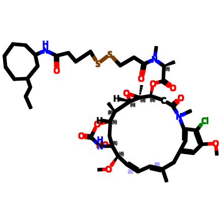 CCCC1CCCCCC(NC(=O)CCCSSCCC(=O)N(C)[C@@H](C)C(=O)O[C@H]2CC(=O)N(C)c3cc(cc(OC)c3Cl)C/C(C)=C/C=C/[C@@H](OC)[C@@]3(O)C[C@H](OC(=O)N3)[C@@H](C)[C@@H]3O[C@@]23C)C1